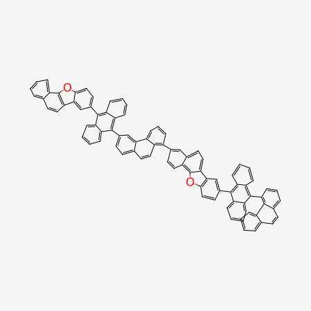 c1ccc2c(c1)ccc1c3cc(-c4c5ccccc5c(-c5ccc6ccc7c(-c8ccc9c(ccc%10c%11cc(-c%12c%13ccccc%13c(-c%13cccc%14ccc%15ccccc%15c%13%14)c%13ccccc%12%13)ccc%11oc9%10)c8)cccc7c6c5)c5ccccc45)ccc3oc21